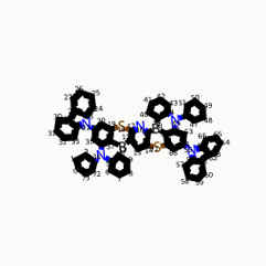 c1ccc(N2c3ccccc3B3c4cc5c(nc4Sc4cc(-n6c7ccccc7c7ccccc76)cc2c43)B2c3ccccc3N(c3ccccc3)c3cc(-n4c6ccccc6c6ccccc64)cc(c32)S5)cc1